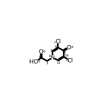 O=C(O)Cn1cc(Cl)c(=O)c(Cl)c1